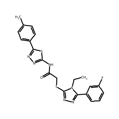 CCn1c(SCC(=O)Nc2nnc(-c3ccc(C)cc3)s2)nnc1-c1cccc(F)c1